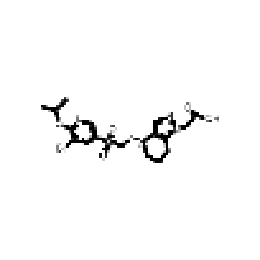 CC(C)Oc1ncc(S(=O)(=O)CN[C@@H]2CCCc3c2cnn3CC(=O)O)cc1Br